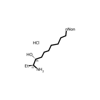 CCCCCCCCCCCCCCCC[C@@H](O)[C@@H](N)CC.Cl